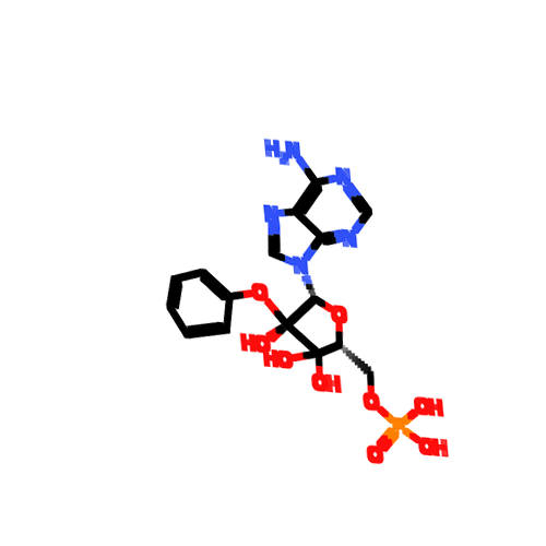 Nc1ncnc2c1ncn2[C@@H]1O[C@H](COP(=O)(O)O)C(O)(O)[C@]1(O)Oc1ccccc1